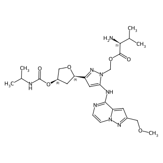 COCc1cc2c(Nc3cc([C@H]4C[C@@H](OC(=O)NC(C)C)CO4)nn3COC(=O)[C@@H](N)C(C)C)nccn2n1